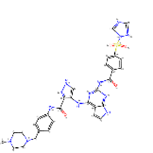 CN1CCN(Cc2ccc(NC(=O)c3n[nH]cc3Nc3nc(NC(=O)c4ccc(S(=O)(=O)n5cncn5)cc4)nc4[nH]ccc34)cc2)CC1